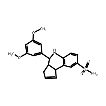 COc1cc(OC)cc(C2Nc3ccc(S(N)(=O)=O)cc3C3C=CCC32)c1